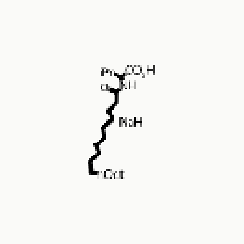 CCCCCCCC/C=C\CCCCCCCC(=O)NC(C(=O)O)C(C)C.[NaH]